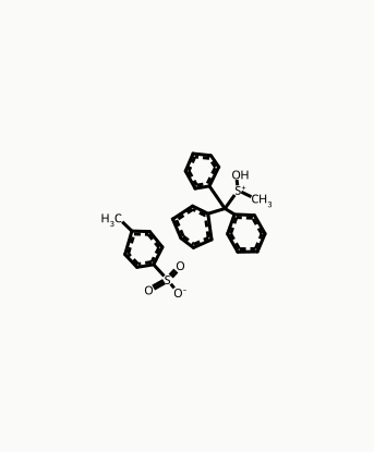 C[S+](O)C(c1ccccc1)(c1ccccc1)c1ccccc1.Cc1ccc(S(=O)(=O)[O-])cc1